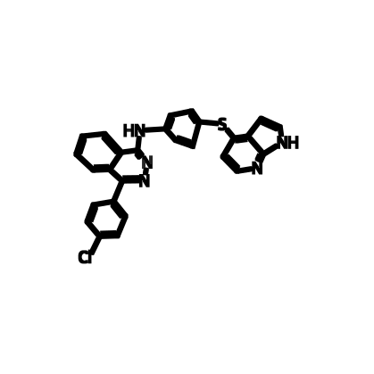 Clc1ccc(-c2nnc(Nc3ccc(Sc4ccnc5[nH]ccc45)cc3)c3ccccc23)cc1